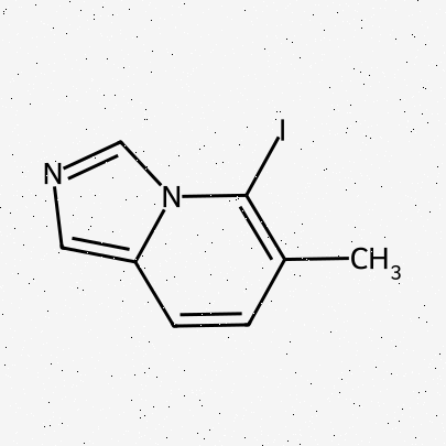 Cc1ccc2cncn2c1I